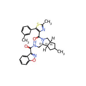 Cc1cccc(-c2sc(C)nc2C(=O)N2C[C@@H]3CC(C)C[C@@H]3[C@H]2CNC(=O)c2noc3ccccc23)c1